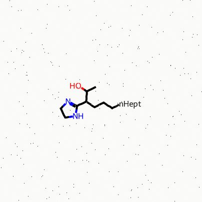 CCCCCCCCCCC(C1=NCCN1)C(C)O